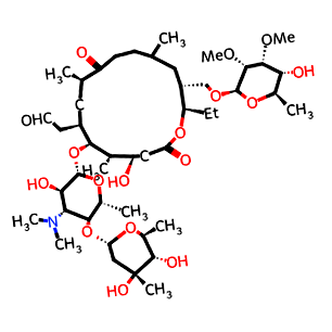 CC[C@H]1OC(=O)C[C@@H](O)[C@H](C)[C@@H](O[C@@H]2O[C@H](C)[C@@H](O[C@H]3C[C@@](C)(O)[C@@H](O)[C@H](C)O3)[C@H](N(C)C)[C@H]2O)[C@@H](CC=O)C[C@@H](C)C(=O)CCC(C)C[C@@H]1CO[C@@H]1O[C@H](C)[C@@H](O)[C@@H](OC)[C@H]1OC